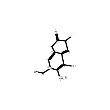 CCOC(=O)C1=C(O)C2=CC(F)C(=O)CC2=CN1CC(C)C